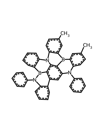 Cc1ccc2c(c1)B1c3cc(C)ccc3N3c4ccccc4B4c5c(cc(c1c53)N2c1ccccc1)-c1ccccc1N4c1ccccc1